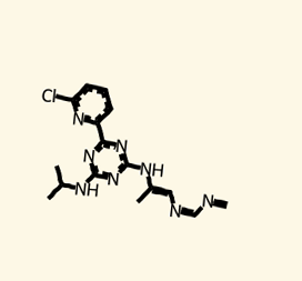 C=N/C=N\C=C(/C)Nc1nc(NC(C)C)nc(-c2cccc(Cl)n2)n1